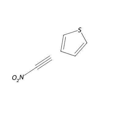 C#C[N+](=O)[O-].c1ccsc1